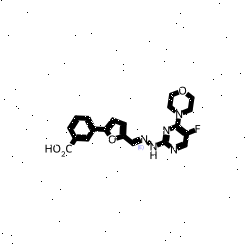 O=C(O)c1cccc(-c2ccc(/C=N/Nc3ncc(F)c(N4CCOCC4)n3)o2)c1